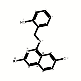 N#Cc1ccccc1CSc1nc(O)cc2ccc(Cl)cc12